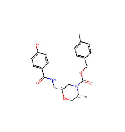 Cc1ccc(COC(=O)N2C[C@@H](CNC(=O)c3ccc(O)cc3)OC[C@H]2C)cc1